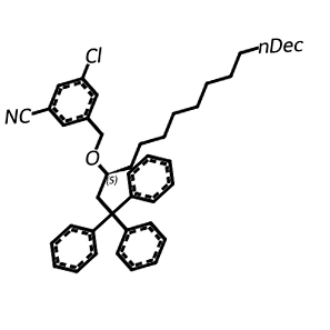 CCCCCCCCCCCCCCCCCC[C@@H](CC(c1ccccc1)(c1ccccc1)c1ccccc1)OCc1cc(Cl)cc(C#N)c1